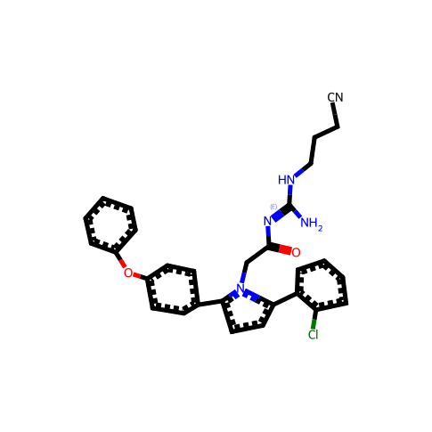 N#CCCCN/C(N)=N/C(=O)Cn1c(-c2ccc(Oc3ccccc3)cc2)ccc1-c1ccccc1Cl